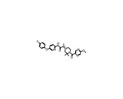 COc1cnc(C(=O)N2CCN([C@H](C)C(=O)Nc3ccc(Oc4ccc(F)cc4)cn3)CC2(C)C)cn1